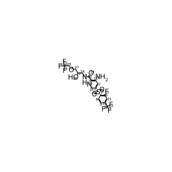 Nc1cc(S(=O)(=O)c2ccc(C(F)(F)F)cc2F)cnc1C(=O)NCC(O)COCC(F)(F)F